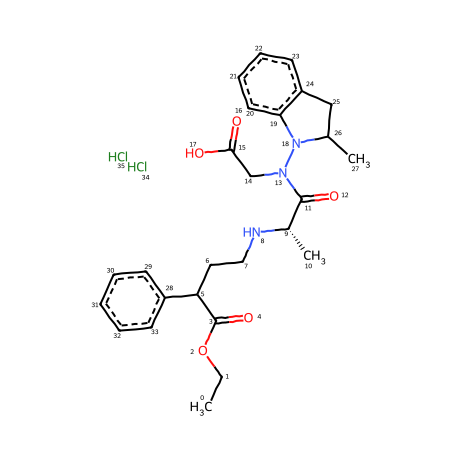 CCOC(=O)C(CCN[C@@H](C)C(=O)N(CC(=O)O)N1c2ccccc2CC1C)c1ccccc1.Cl.Cl